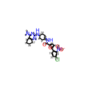 CN(C)c1nc(NC2CCC(NC(=O)c3ccc(-c4ccc(Cl)cc4[N+](=O)[O-])o3)CC2)nc2c1CCCC2